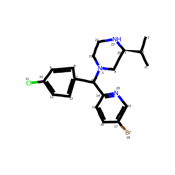 CC(C)[C@H]1CN(C(c2ccc(Cl)cc2)c2ccc(Br)cn2)CCN1